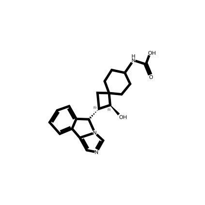 O=C(O)NC1CCC2(CC1)C[C@@H](C1c3ccccc3-c3cncn31)[C@@H]2O